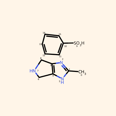 Cc1nc2c([nH]1)CNC2.O=S(=O)(O)c1ccccc1